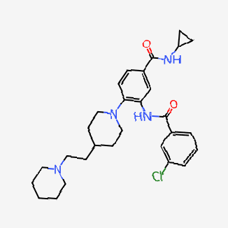 O=C(Nc1cc(C(=O)NC2CC2)ccc1N1CCC(CCN2CCCCC2)CC1)c1cccc(Cl)c1